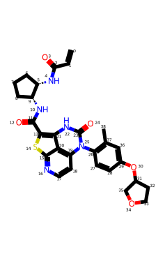 C=CC(=O)N[C@H]1CCC[C@H]1NC(=O)c1sc2nccc3c2c1NC(=O)N3c1ccc(OC2CCOC2)cc1C